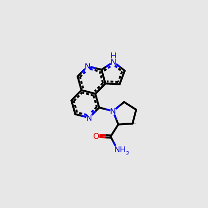 NC(=O)C1[CH]CCN1c1nccc2cnc3[nH]ccc3c12